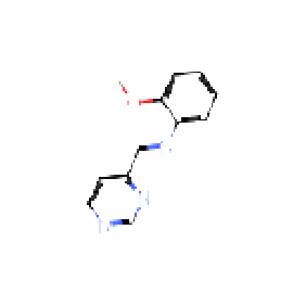 COc1ccccc1/N=C/c1ccncn1